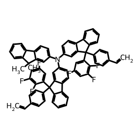 C=Cc1ccc(C2(c3cc(F)cc(F)c3F)c3ccccc3-c3ccc(N(c4ccc5c(c4)C(C)(C)c4ccccc4-5)c4ccc5c(c4)C(c4ccc(C=C)cc4)(c4cc(F)cc(F)c4F)c4ccccc4-5)cc32)cc1